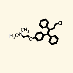 CN(C)CCOc1ccc(C(=C(CCCl)c2ccccc2)c2ccccc2)cc1